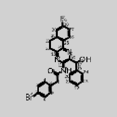 O=C(Cc1ccc(Br)cc1)Nc1nc2c(nc1C(O)c1ccccc1)-c1ccc(F)cc1CC2